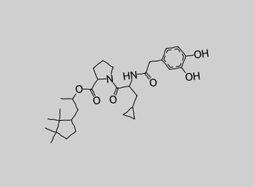 CC(CC1CCC(C)(C)C1(C)C)OC(=O)C1CCCN1C(=O)C(CC1CC1)NC(=O)Cc1ccc(O)c(O)c1